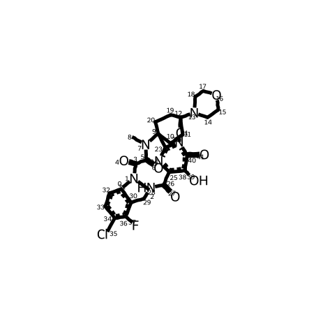 CN(C)C(=O)C(=O)N(C)C12CCC(N3CCOCC3)(CC1)Cn1c2nc(C(=O)NCc2cccc(Cl)c2F)c(O)c1=O